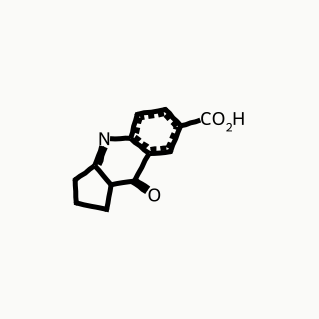 O=C(O)c1ccc2c(c1)C(=O)C1CCCC1=N2